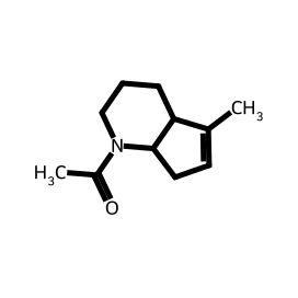 CC(=O)N1CCCC2C(C)=CCC21